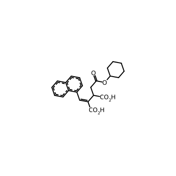 O=C(CC(C(=O)O)C(=Cc1cccc2ccccc12)C(=O)O)OC1CCCCC1